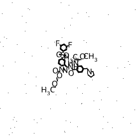 CCOCCOC(=O)n1nc(NC(=O)c2ccc(CN3CCCC3)cc2N[C@H](C)COC)c2cc(S(=O)(=O)c3cc(F)cc(F)c3)ccc21